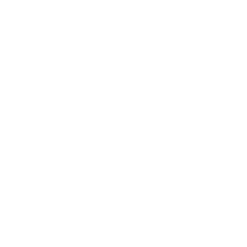 C=COC(=O)SC=C